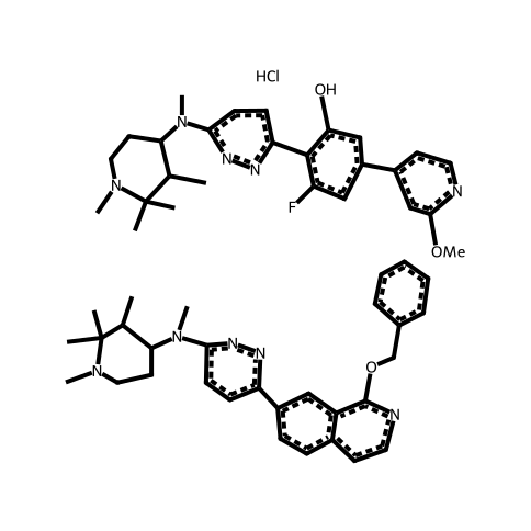 CC1C(N(C)c2ccc(-c3ccc4ccnc(OCc5ccccc5)c4c3)nn2)CCN(C)C1(C)C.COc1cc(-c2cc(O)c(-c3ccc(N(C)C4CCN(C)C(C)(C)C4C)nn3)c(F)c2)ccn1.Cl